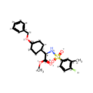 COC(=O)[C@H](NS(=O)(=O)c1ccc(F)c(C)c1)C1CCC(OCc2ccccc2)CC1